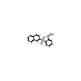 O=S(=O)(c1ccc2ccccc2c1)c1ccccc1CO